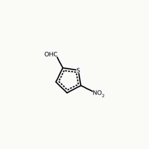 O=Cc1ccc([N+](=O)[O-])s1